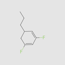 CCCC1C=C(F)C=C(F)C1